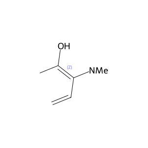 C=C/C(NC)=C(\C)O